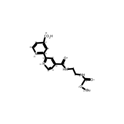 CC(C)(C)OC(=O)NCCNC(=O)c1ccnc(-c2cc(C(=O)O)ccn2)c1